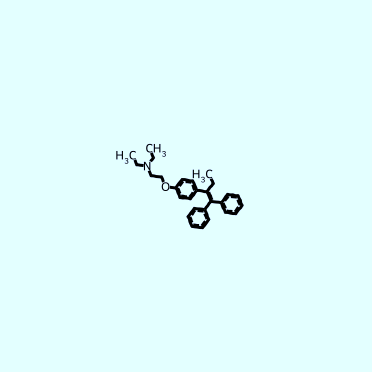 CCC(=C(c1ccccc1)c1ccccc1)c1ccc(OCCN(CC)CC)cc1